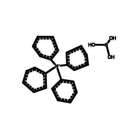 OB(O)O.c1ccc([N+](c2ccccc2)(c2ccccc2)c2ccccc2)cc1